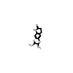 CC(Oc1ccc2c(c1)CCC(=O)N2)C(N)=O